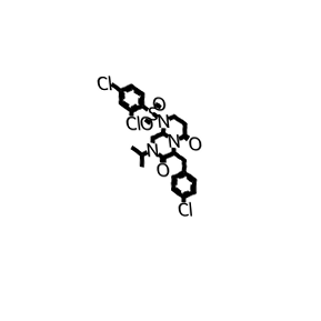 CC(C)N1CC2N(C(=O)CCN2S(=O)(=O)c2ccc(Cl)cc2Cl)C(Cc2ccc(Cl)cc2)C1=O